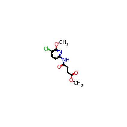 COC(=O)CCC(=O)Nc1ccc(Cl)c(OC)n1